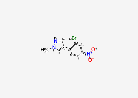 Cn1cc(-c2ccc([N+](=O)[O-])cc2Br)cn1